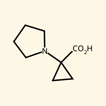 O=C(O)C1(N2CCCC2)CC1